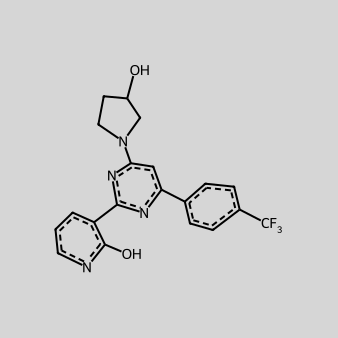 Oc1ncccc1-c1nc(-c2ccc(C(F)(F)F)cc2)cc(N2CCC(O)C2)n1